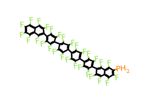 Fc1c(F)c(-c2c(F)c(F)c(-c3c(F)c(F)c4c(F)c(F)c(F)c(F)c4c3F)c(F)c2F)c(F)c(F)c1-c1c(F)c(F)c(-c2c(F)c(F)c(-c3c(F)c(F)c4c(F)c(F)c(P)c(F)c4c3F)c(F)c2F)c(F)c1F